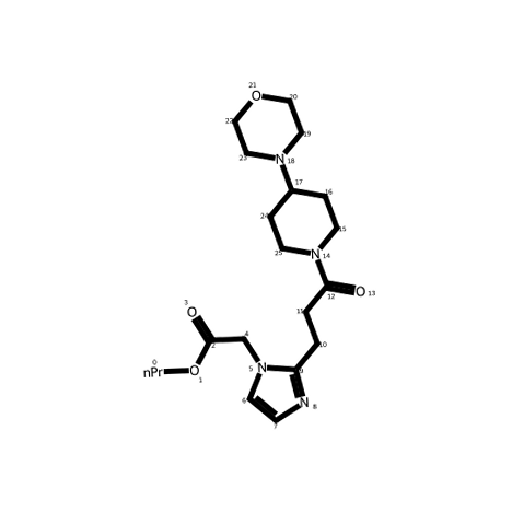 CCCOC(=O)Cn1ccnc1CCC(=O)N1CCC(N2CCOCC2)CC1